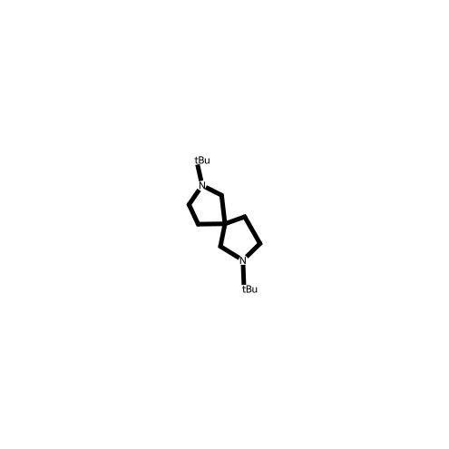 CC(C)(C)N1CCC2(CCN(C(C)(C)C)C2)C1